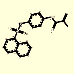 C=C(C)C(=O)Nc1ccc(NS(=O)(=O)c2cccc3ccccc23)cc1